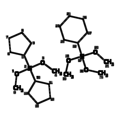 CO[Si](OC)(C1CCCC1)C1CCCC1.CO[Si](OC)(OC)C1CCCCC1